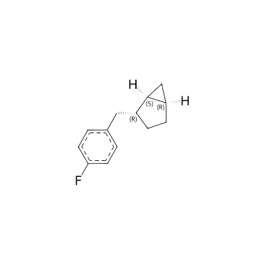 Fc1ccc(C[C@H]2CC[C@@H]3C[C@H]23)cc1